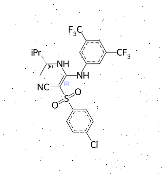 CC(C)[C@@H](C)N/C(Nc1cc(C(F)(F)F)cc(C(F)(F)F)c1)=C(\C#N)S(=O)(=O)c1ccc(Cl)cc1